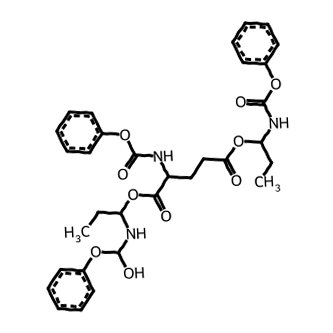 CCC(NC(=O)Oc1ccccc1)OC(=O)CCC(NC(=O)Oc1ccccc1)C(=O)OC(CC)NC(O)Oc1ccccc1